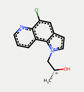 C[C@@H](O)Cn1ccc2cc(Cl)c3ncccc3c21